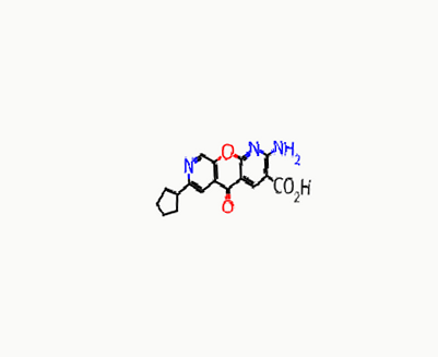 Nc1nc2oc3cnc(C4CCCC4)cc3c(=O)c2cc1C(=O)O